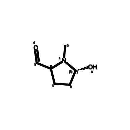 CN1C(C=O)CC[C@H]1O